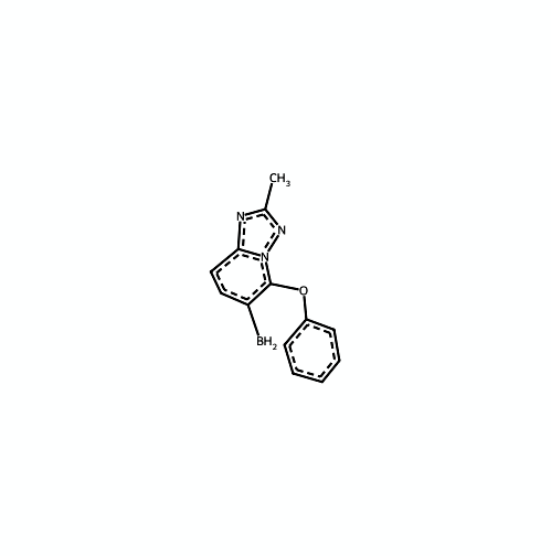 Bc1ccc2nc(C)nn2c1Oc1ccccc1